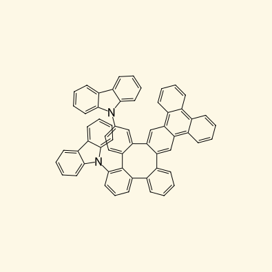 c1ccc2c(c1)-c1cc3c4ccccc4c4ccccc4c3cc1-c1cc(-n3c4ccccc4c4ccccc43)ccc1-c1c-2cccc1-n1c2ccccc2c2ccccc21